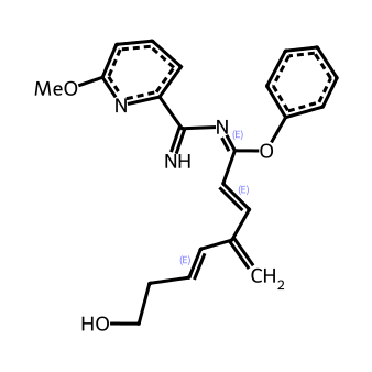 C=C(/C=C/CCO)/C=C/C(=N\C(=N)c1cccc(OC)n1)Oc1ccccc1